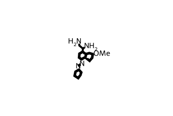 COc1ccc2c(N=Nc3ccccc3)ccc(C(N)CN)c2c1